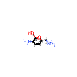 NC[C@@H]1C=C[C@@H](N)[C@@H](O)O1